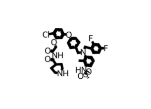 Cc1c(NS(C)(=O)=O)cccc1N(Cc1ccc(Oc2ccc(Cl)c(OCC(=O)NC(=O)C3CCNCC3)c2)cc1)Cc1ccc(F)cc1F